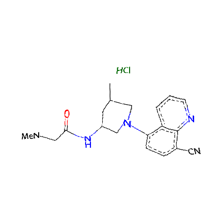 CNCC(=O)NC1CC(C)CN(c2ccc(C#N)c3ncccc23)C1.Cl